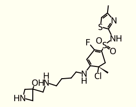 Cc1csc(NS(=O)(=O)C2=C(F)C=C(NCCCCNCC3(O)CNC3)[C@@](C)(Cl)C2)n1